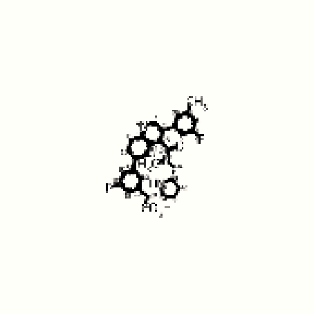 Cc1cc(F)cc(-c2cnc3ccc(-c4cc(F)cc(CC(=O)O)c4)cc3c2C(=O)N(C)C[C@@H]2CCCN2)c1